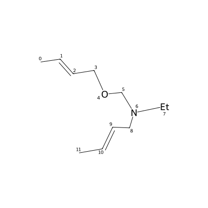 CC=CCOCN(CC)CC=CC